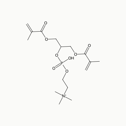 C=C(C)C(=O)OCC(COC(=O)C(=C)C)OP(=O)(O)OCC[N+](C)(C)C